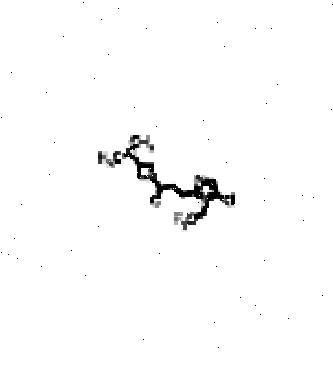 CN(C)C1CN(C(=O)CCc2ncc(Cl)n2CC(F)(F)F)C1